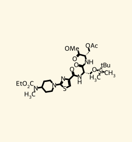 CCOC(=O)N(C)C1CCN(c2nc(C(=O)N[C@@H](CO[Si](C)(C)C(C)(C)C)C(=O)N[C@@H](COC(C)=O)C(=O)OC)cs2)CC1